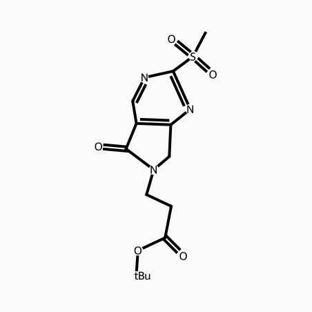 CC(C)(C)OC(=O)CCN1Cc2nc(S(C)(=O)=O)ncc2C1=O